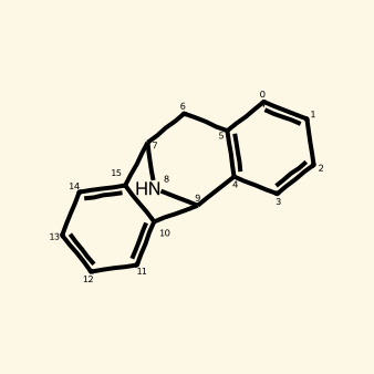 [c]1cccc2c1CC1NC2c2ccccc21